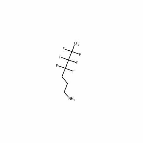 NCCCC(F)(F)C(F)(F)C(F)(F)C(F)(F)F